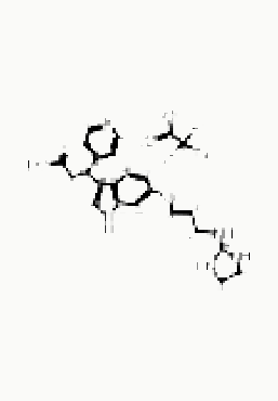 O=C(O)C(F)(F)F.O=C(O)CC(c1ccncc1)c1c[nH]c2cc(OCCCNC3NCCN3)ccc12